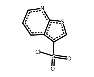 O=S(=O)(Cl)c1csc2ncccc12